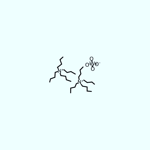 CCCC[N+](CCCC)(CCCC)CCCC.CCCC[N+](CCCC)(CCCC)CCCC.[O]=[W](=[O])([O-])[O-]